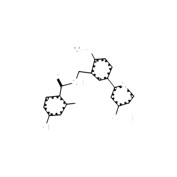 COc1ccc(-c2cc(C(=O)O)ccn2)cc1CNC(=O)c1ccc(Cl)cc1Cl